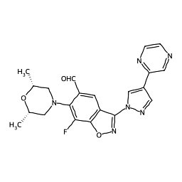 C[C@@H]1CN(c2c(C=O)cc3c(-n4cc(-c5cnccn5)cn4)noc3c2F)C[C@H](C)O1